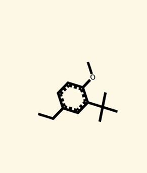 CCc1ccc(OC)c(C(C)(C)C)c1